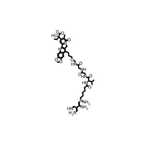 CC[C@@]1(O)C(=O)OCc2c1cc1n(c2=O)Cc2c-1nc1cc3c(cc1c2CCCOCNC(=O)CNC(=O)CNC(=O)C(NC(=O)CCCCCN(N)/C=C(N)/C(C=N)=C/N)C(C)C)OCO3